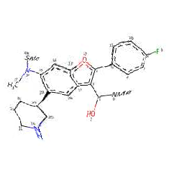 CNC(O)c1c(-c2ccc(F)cc2)oc2cc(N(C)SC)c([C@@H]3CCCNC3)cc12